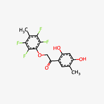 Cc1cc(C(=O)COc2c(F)c(F)c(C)c(F)c2F)c(O)cc1O